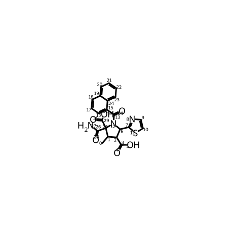 CC1C(C(=O)O)C(c2nccs2)N(C(=O)c2cccc3ccccc23)C1(C(N)=O)C(=O)O